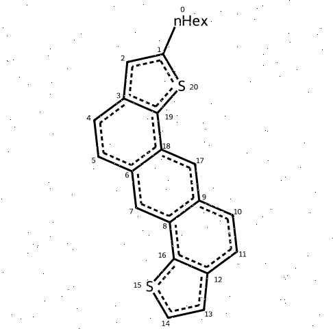 CCCCCCc1cc2ccc3cc4c(ccc5ccsc54)cc3c2s1